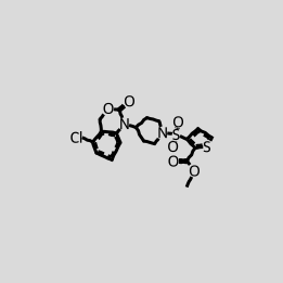 COC(=O)c1sccc1S(=O)(=O)N1CCC(N2C(=O)OCc3c(Cl)cccc32)CC1